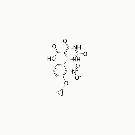 O=C(O)c1c(-c2cccc(OC3CC3)c2[N+](=O)[O-])[nH]c(=O)[nH]c1=O